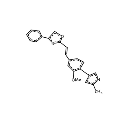 COc1cc(C=Cc2nc(-c3ccccc3)co2)ccc1-n1cnc(C)c1